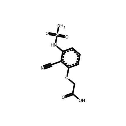 N#Cc1c(NS(N)(=O)=O)cccc1OCC(=O)O